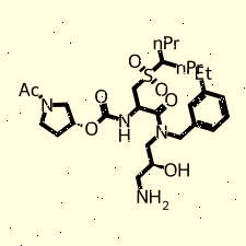 CCCC(CCC)S(=O)(=O)CC(NC(=O)O[C@@H]1CCN(C(C)=O)C1)C(=O)N(Cc1cccc(CC)c1)C[C@@H](O)CN